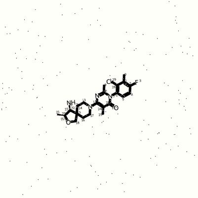 Cc1c(F)ccc(-n2c(C)nc(N3CCC4(CC3)CO[C@@H](C)[C@H]4N)c(C)c2=O)c1Cl